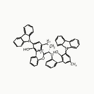 Cc1cc(-c2ccccc2OC(C)[C@H](C)Oc2ccccc2-c2cc(C)cc(-n3c4ccccc4c4ccccc43)c2O)c(O)c(-n2c3ccccc3c3ccccc32)c1